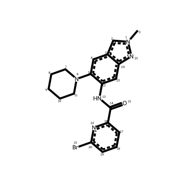 Cn1cc2cc(N3CCCCC3)c(NC(=O)c3cccc(Br)n3)cc2n1